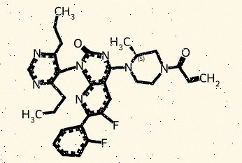 C=CC(=O)N1CCN(c2nc(=O)n(-c3c(CCC)ncnc3CCC)c3nc(-c4ccccc4F)c(F)cc23)[C@@H](C)C1